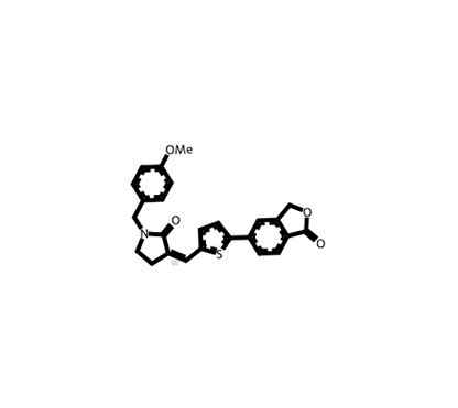 COc1ccc(CN2CC/C(=C/c3ccc(-c4ccc5c(c4)COC5=O)s3)C2=O)cc1